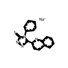 S=c1[n-]nc(-c2ccc3ccccc3n2)n1-c1ccccc1.[Na+]